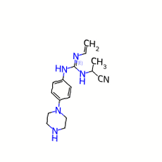 C=C/N=C(/Nc1ccc(N2CCNCC2)cc1)NC(C)C#N